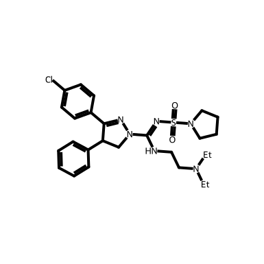 CCN(CC)CCN/C(=N\S(=O)(=O)N1CCCC1)N1CC(c2ccccc2)C(c2ccc(Cl)cc2)=N1